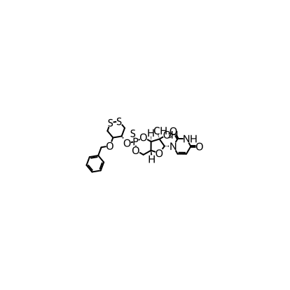 C[C@@]1(O)[C@@H]2OP(=S)(O[C@H]3CSSCC3OCc3ccccc3)OC[C@H]2O[C@H]1n1ccc(=O)[nH]c1=O